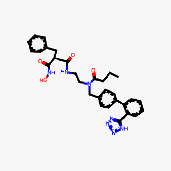 CCCC(=O)N(CCNC(=O)C(Cc1ccccc1)C(=O)NO)Cc1ccc(-c2ccccc2-c2nnn[nH]2)cc1